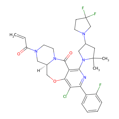 C=CC(=O)N1CCN2C(=O)c3c(N4CC(N5CCC(F)(F)C5)CC4(C)C)nc(-c4ccccc4F)c(Cl)c3OC[C@H]2C1